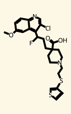 COc1ccc2ncc(Cl)c(C(F)CCC3(C(=O)O)CCN(CCSc4ccsc4)CC3)c2c1